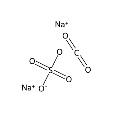 O=C=O.O=S(=O)([O-])[O-].[Na+].[Na+]